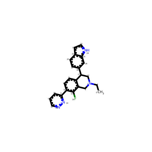 CCN1Cc2c(ccc(-c3cccnn3)c2F)C(c2ccc3cc[nH]c3c2)C1